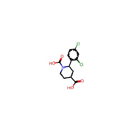 O=C(O)C1CCN(C(=O)O)C(c2ccc(Cl)cc2Cl)C1